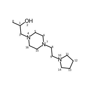 CC(O)CN1CCN(CCN2CCCC2)CC1